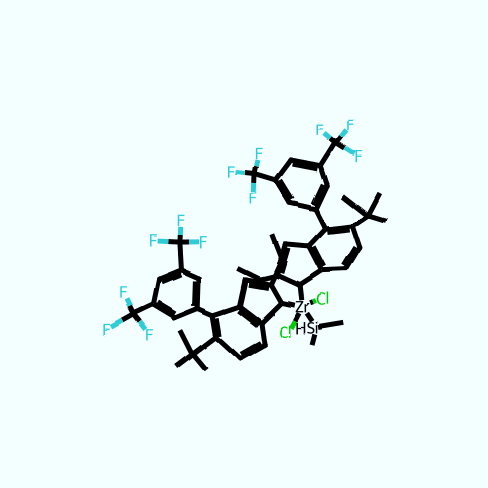 CCC1=Cc2c(ccc(C(C)(C)C)c2-c2cc(C(F)(F)F)cc(C(F)(F)F)c2)[CH]1[Zr]([Cl])([Cl])([CH]1C(CC)=Cc2c1ccc(C(C)(C)C)c2-c1cc(C(F)(F)F)cc(C(F)(F)F)c1)[SiH](C)C